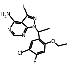 CCOc1cc(F)c(Cl)cc1C(C)n1nc(I)c2c(N)ncnc21